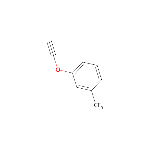 C#COc1cccc(C(F)(F)F)c1